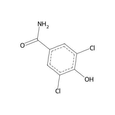 NC(=O)c1cc(Cl)c(O)c(Cl)c1